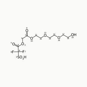 O=C(COC(=O)C(F)(F)S(=O)(=O)O)OCCOCCOCCO